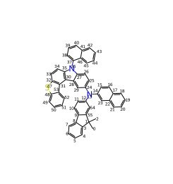 CC1(C)c2ccccc2-c2ccc(N(c3ccc4ccccc4c3)c3ccc4c(c3)c3c5c(ccc3n4-c3cccc4ccccc34)sc3ccccc35)cc21